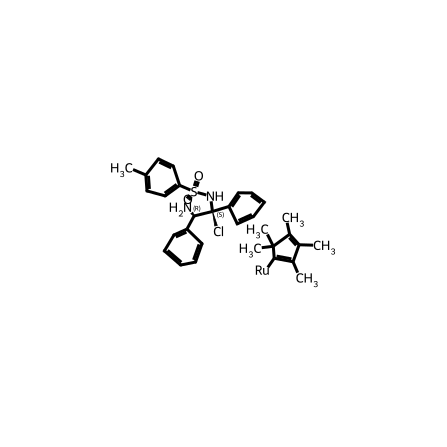 CC1=C(C)C(C)(C)[C]([Ru])=C1C.Cc1ccc(S(=O)(=O)N[C@](Cl)(c2ccccc2)[C@H](N)c2ccccc2)cc1